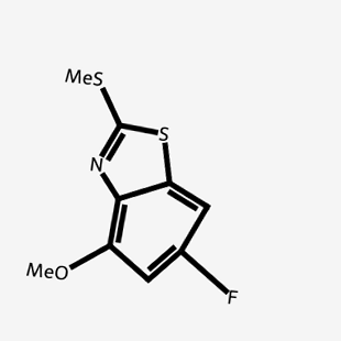 [CH2]Sc1nc2c(OC)cc(F)cc2s1